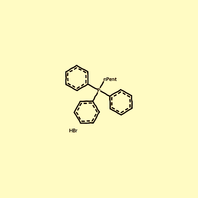 Br.CCCCC[P](c1ccccc1)(c1ccccc1)c1ccccc1